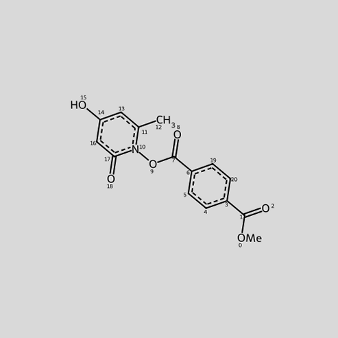 COC(=O)c1ccc(C(=O)On2c(C)cc(O)cc2=O)cc1